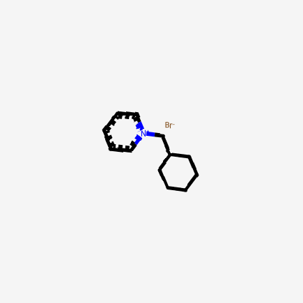 [Br-].c1cc[n+](CC2CCCCC2)cc1